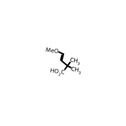 COC=CC(C)(C)C(=O)O